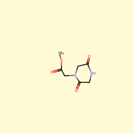 CC(C)(C)OC(=O)CN1CC(=O)NCC1=O